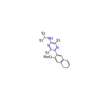 CCc1nc(-c2cc3c(cc2OC)CCC=C3)c(CC)nc1NC(CC)CC